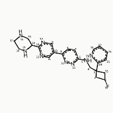 FC1CC(CNc2ccc(-c3cnc(C4CNCCN4)nc3)nn2)(c2ccccn2)C1